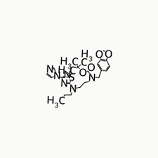 CCCN(CCCN(Cc1ccc2c(c1)OCO2)C(=O)OC(C)(C)C)c1nc(-n2ccnc2)ns1